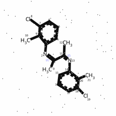 CC(=N/c1cccc(Cl)c1C)/C(C)=N\c1cccc(Cl)c1C